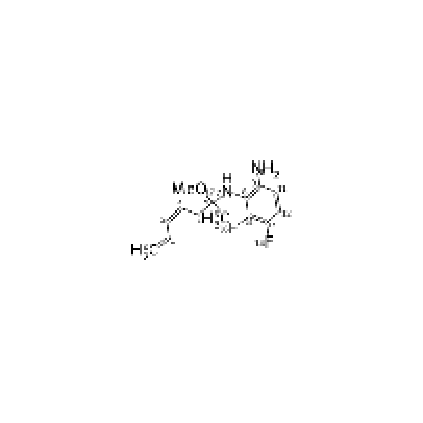 C=C/C=C\CC(C)(Nc1c(N)ccc(F)c1F)OC